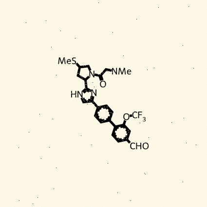 CNCC(=O)N1CC(SC)CC1c1nc(-c2ccc(-c3ccc(C=O)cc3OC(F)(F)F)cc2)c[nH]1